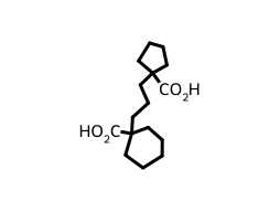 O=C(O)C1(CCCC2(C(=O)O)CCCC2)CCCCC1